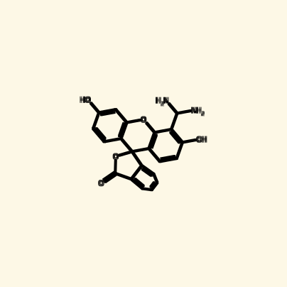 NC(N)c1c(O)ccc2c1Oc1cc(O)ccc1C21OC(=O)c2ccccc21